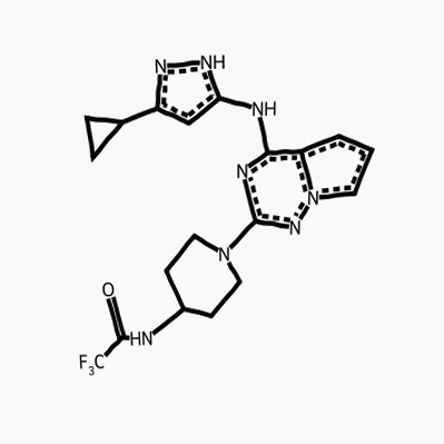 O=C(NC1CCN(c2nc(Nc3cc(C4CC4)n[nH]3)c3cccn3n2)CC1)C(F)(F)F